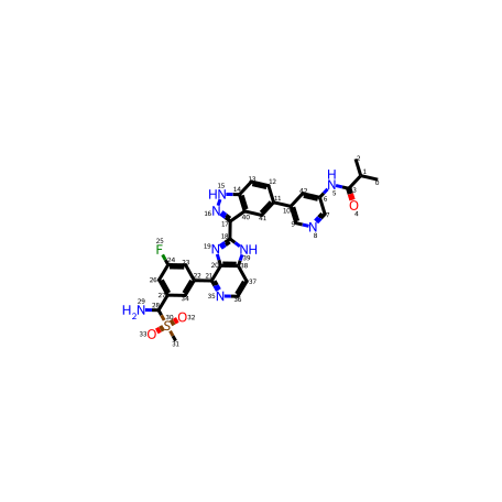 CC(C)C(=O)Nc1cncc(-c2ccc3[nH]nc(-c4nc5c(-c6cc(F)cc(C(N)S(C)(=O)=O)c6)nccc5[nH]4)c3c2)c1